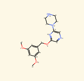 COc1cc(COc2cncc(N3CCNCC3)n2)cc(OC)c1